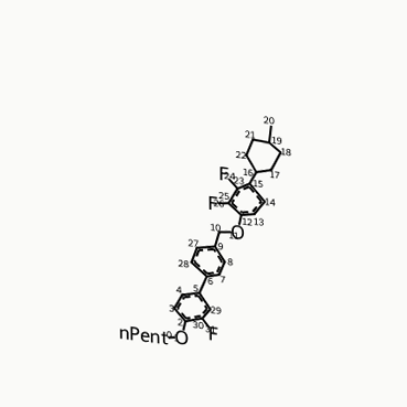 CCCCCOc1ccc(-c2ccc(COc3ccc(C4CCC(C)CC4)c(F)c3F)cc2)cc1F